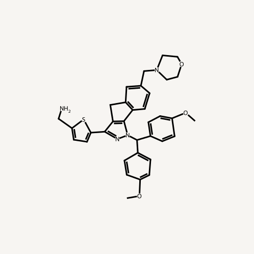 COc1ccc(C(c2ccc(OC)cc2)n2nc(-c3ccc(CN)s3)c3c2-c2ccc(CN4CCOCC4)cc2C3)cc1